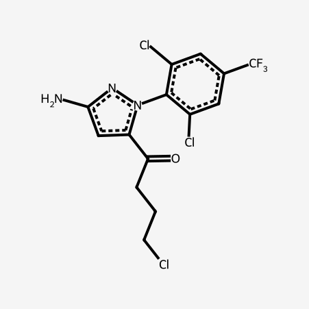 Nc1cc(C(=O)CCCCl)n(-c2c(Cl)cc(C(F)(F)F)cc2Cl)n1